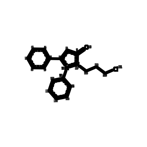 O=c1cc(-c2ccccc2)n(-c2ccccc2)n1CCCCl